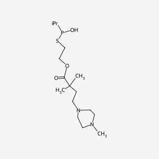 CC(C)P(O)SCCOC(=O)C(C)(C)CCN1CCN(C)CC1